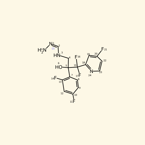 N/N=C\NCC(O)(c1ccc(F)cc1F)C(F)(F)c1cc(F)ccn1